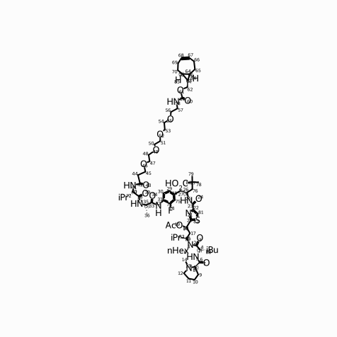 CCCCCCN(C(=O)[C@@H](NC(=O)[C@H]1CCCCN1C)[C@@H](C)CC)[C@H](C[C@@H](OC(C)=O)c1nc(C(=O)N[C@@H](Cc2ccc(NC(=O)[C@H](C)NC(=O)[C@@H](NC(=O)CCOCCOCCOCCOCCNC(=O)OC[C@@H]3[C@@H]4CCC#CCC[C@@H]43)C(C)C)c(F)c2)CC(C)(C)C(=O)O)cs1)C(C)C